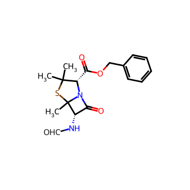 CC1(C)SC2(C)[C@@H](NC=O)C(=O)N2[C@H]1C(=O)OCc1ccccc1